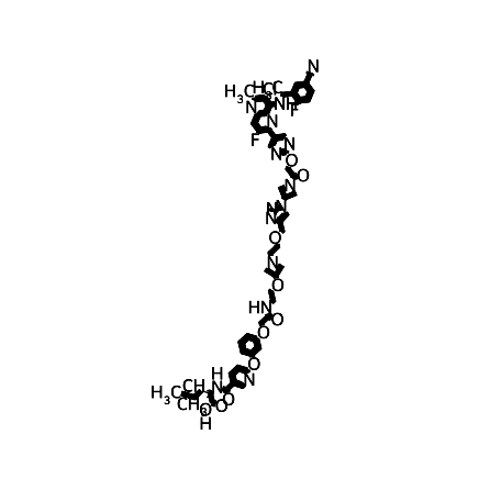 Cc1nc2cc(F)c(-c3cnc(OCC(=O)N4CC(n5cc(COCCN6CC(OCCNC(=O)COc7cccc(Oc8ccc(C(=O)N[C@@H](CCC(C)(C)C)C(=O)O)cn8)c7)C6)nn5)C4)nc3)nc2c(N[C@H](C)c2cc(C#N)ccc2F)c1Cl